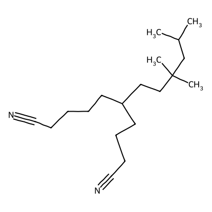 CC(C)CC(C)(C)CCC(CCCC#N)CCCCC#N